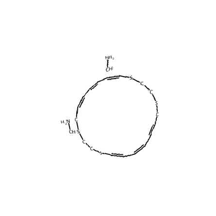 [CH]N.[CH]N.[C]1=CSCCSCC=CC=CC=CSCCSCC=CC=C1